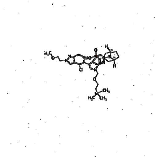 COCCn1cc2c(Cl)c(-c3cn(COCC[Si](C)(C)C)c4nc(N5[C@@H]6CC[C@H]5C[C@@H](NC(=O)O)C6)cnc34)ccc2n1